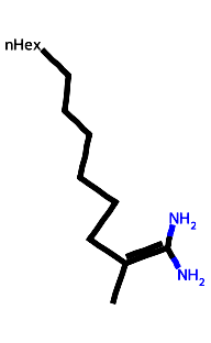 CCCCCCCCCCCCC(C)=C(N)N